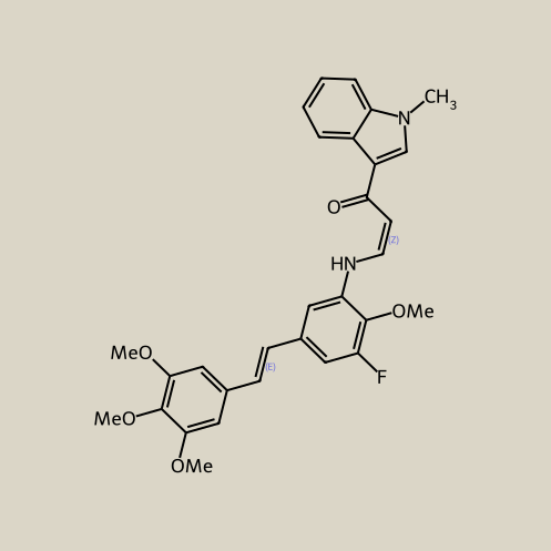 COc1cc(/C=C/c2cc(F)c(OC)c(N/C=C\C(=O)c3cn(C)c4ccccc34)c2)cc(OC)c1OC